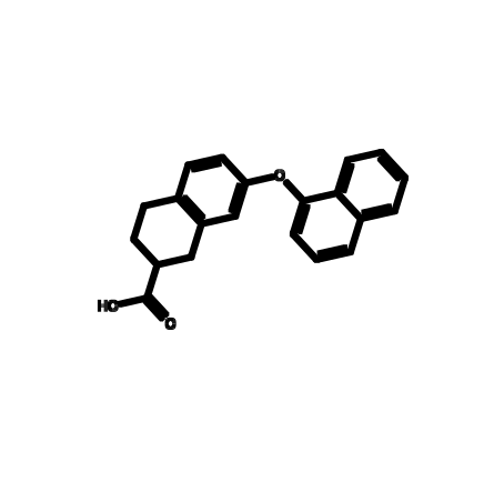 O=C(O)C1CCc2ccc(Oc3cccc4ccccc34)cc2C1